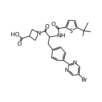 CC(C)(C)c1ccc(C(=O)NC(Cc2ccc(-c3ncc(Br)cn3)cc2)C(=O)N2CC(C(=O)O)C2)s1